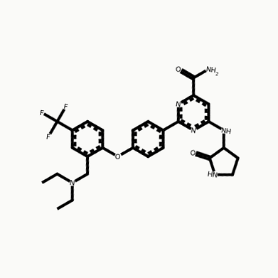 CCN(CC)Cc1cc(C(F)(F)F)ccc1Oc1ccc(-c2nc(NC3CCNC3=O)cc(C(N)=O)n2)cc1